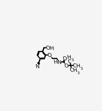 CC(C)(C)OC(=O)NCCOc1cc(C#N)ccc1CO